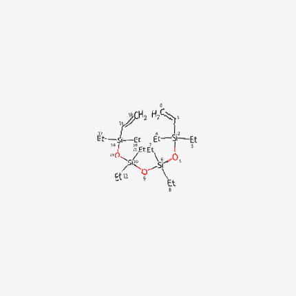 C=C[Si](CC)(CC)O[Si](CC)(CC)O[Si](CC)(CC)O[Si](C=C)(CC)CC